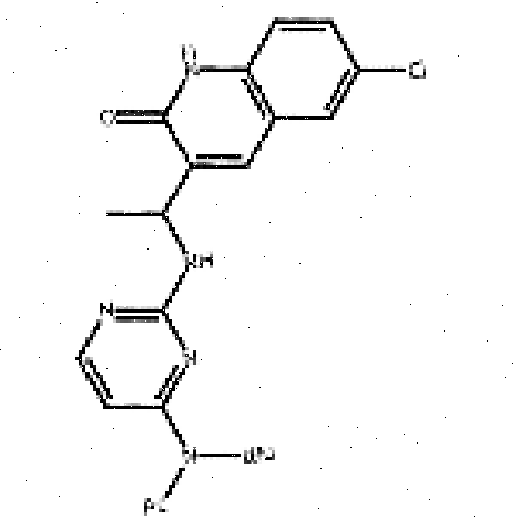 CC(=O)N(c1ccnc(NC(C)c2cc3cc(Cl)ccc3[nH]c2=O)n1)C(C)(C)C